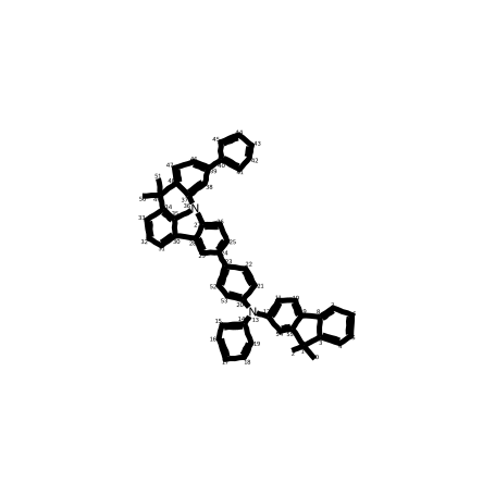 CC1(C)c2ccccc2-c2ccc(N(c3ccccc3)c3ccc(-c4ccc5c(c4)c4cccc6c4n5-c4cc(-c5ccccc5)ccc4C6(C)C)cc3)cc21